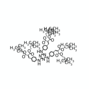 C[Si](C)(C)CCOC(=O)C(=Cc1ccc(Nc2nc(Nc3ccc(C=C(C(=O)OCC[Si](C)(C)C)C(=O)OCC[Si](C)(C)C)cc3)nc(Nc3ccc(C=C(C(=O)OCC[Si](C)(C)C)C(=O)OCC[Si](C)(C)C)cc3)n2)cc1)C(=O)OCC[Si](C)(C)C